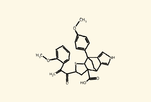 C=C(C(=O)C1CC2(C(=O)O)C3CCC(c4ccc(OC)cc4)(c4c[nH]cc43)C2S1)c1ccccc1OC